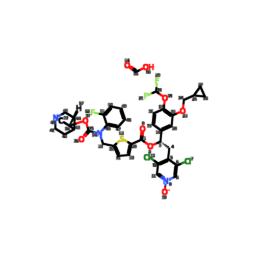 O=C(O[C@@H](Cc1c(Cl)c[n+]([O-])cc1Cl)c1ccc(OC(F)F)c(OCC2CC2)c1)c1ccc(CN(C(=O)O[C@H]2CN3CCC2CC3)c2ccccc2F)s1.O=CO